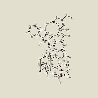 CCC1=C[C@@H]2CN(C1)Cc1c([nH]c3ccccc13)[C@@](C(=O)OC)(c1cc3c(cc1OC)N(C)[C@H]1[C@@](O)(C(=O)OC)[C@H](OC(C)=O)[C@]4(CC)[C@@H]5C[C@@H]5CN5CC[C@]31[C@@H]54)C2